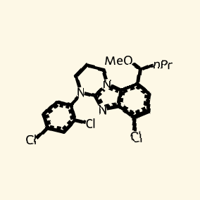 CCCC(OC)c1ccc(Cl)c2nc3n(c12)CCCN3c1ccc(Cl)cc1Cl